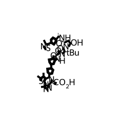 Cc1ncsc1-c1ccc([C@H](C)NC(=O)[C@@H]2C[C@@H](O)CN2C(=O)[C@@H](NC(=O)c2nc3cc(-c4ccc(C5=N[C@@H](CC(=O)O)c6nnc(C)n6-c6sc(C)c(C)c65)cc4)ccc3o2)C(C)(C)C)cc1